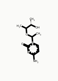 CC(OC(C)n1ccc(N)nc1=O)[C@H](C)O